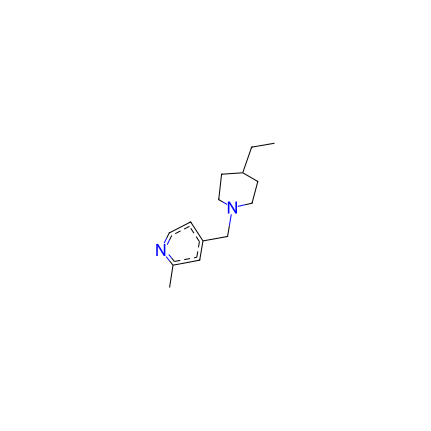 CCC1CCN(Cc2ccnc(C)c2)CC1